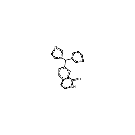 O=c1[nH]cnc2ccc(C(c3ccccc3)n3ccnc3)cc12